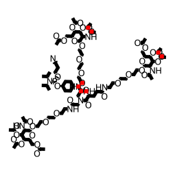 CC(=O)NC1C(OCCOCCOCCNC(=O)CCC(NCC(=O)[C@H]2CC[C@H](OP(OCCC#N)N(C(C)C)C(C)C)CC2)C(=O)N(CC(=O)NCCOCCOCCOC2OC(COC(C)=O)C(OC(C)=O)C(OC(C)=O)C2NC(C)=O)CC(=O)NCCOCCOCCOC2OC(COC(C)=O)C(OC(C)=O)C(OC(C)=O)C2NC(C)=O)OC(COC(C)=O)C(OC(C)=O)C1OC(C)=O